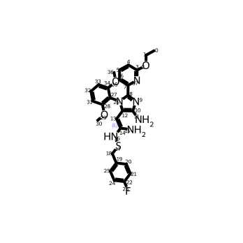 CCOc1cccc(-c2nc(N)c(/C=C(\N)NSCc3ccc(F)cc3)n2-c2c(OC)cccc2OC)n1